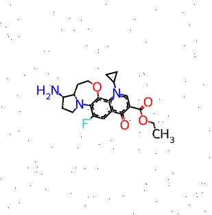 CCOC(=O)c1cn(C2CC2)c2c3c(c(F)cc2c1=O)N1CC[C@@H](N)C1CCO3